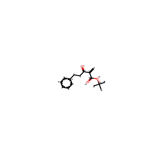 C=C(C(=O)CCc1ccccc1)C(=O)OC(C)(C)C